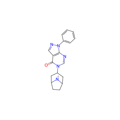 CN1C2CCC1CC(n1cnc3c(cnn3-c3ccccc3)c1=O)C2